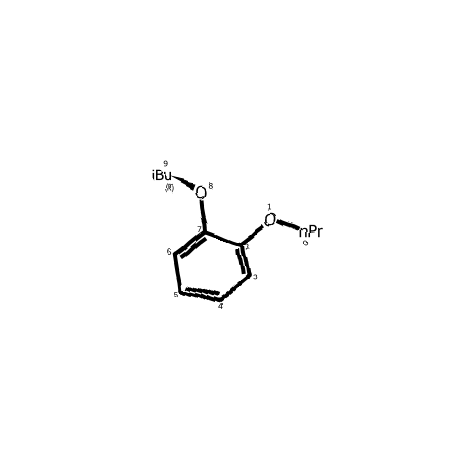 CCCOc1ccccc1O[C@H](C)CC